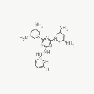 N[C@@H]1C[C@H](N)CN(c2nc(NNN3C=CC=C(Cl)N3)nc(N3C[C@H](N)C[C@H](N)C3)n2)C1